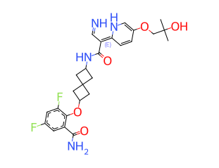 CC(C)(O)COC1=CN/C(=C(\C=N)C(=O)NC2CC3(C2)CC(Oc2c(F)cc(F)cc2C(N)=O)C3)C=C1